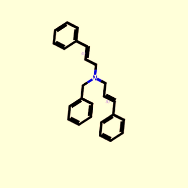 C(=C\c1ccccc1)/CN(C/C=C/c1ccccc1)Cc1ccccc1